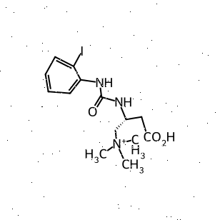 C[N+](C)(C)C[C@@H](CC(=O)O)NC(=O)Nc1ccccc1I